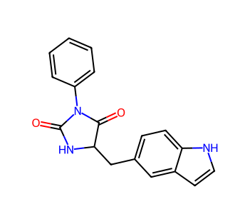 O=C1NC(Cc2ccc3[nH]ccc3c2)C(=O)N1c1ccccc1